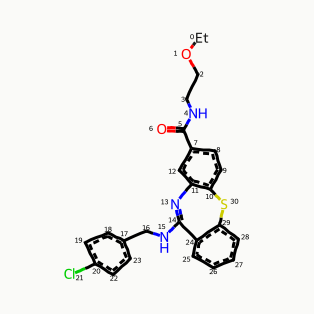 CCOCCNC(=O)c1ccc2c(c1)N=C(NCc1ccc(Cl)cc1)c1ccccc1S2